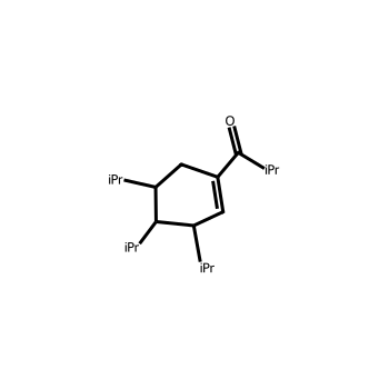 CC(C)C(=O)C1=CC(C(C)C)C(C(C)C)C(C(C)C)C1